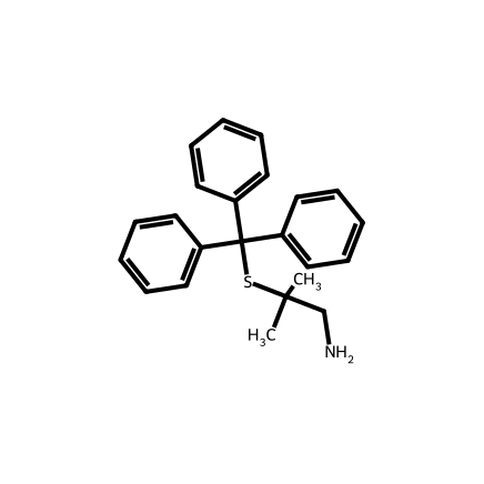 CC(C)(CN)SC(c1ccccc1)(c1ccccc1)c1ccccc1